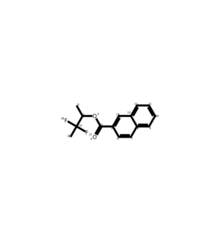 CC(OC(=O)c1ccc2ccccc2c1)C(C)(F)F